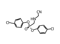 N#CCNCP(=O)(Oc1ccc(Cl)cc1)Oc1ccc(Cl)cc1